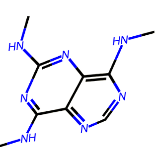 CNc1nc(NC)c2ncnc(NC)c2n1